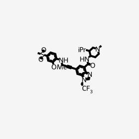 COc1cc(S(C)(=O)=O)ccc1NCC#Cc1cc(C(=O)NC2CCN(C)CC2C(C)C)c2ncn(CC(F)(F)F)c2c1